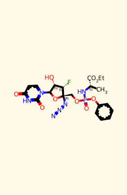 CCOC(=O)[C@H](C)NP(=O)(OC[C@@]1(N=[N+]=[N-])OC(n2ccc(=O)[nH]c2=O)[C@H](O)[C@@H]1F)Oc1ccccc1